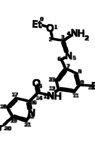 CCOC/C(N)=N\Cc1cc(Br)cc(NC(=O)c2ccc(Br)cn2)c1